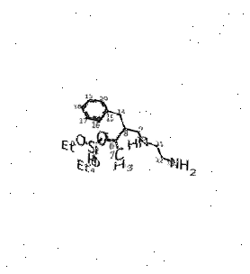 CCO[SiH](OCC)OC(C)C(CNCCN)Cc1ccccc1